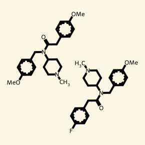 COc1ccc(CC(=O)N(Cc2ccc(OC)cc2)C2CCN(C)CC2)cc1.COc1ccc(CN(C(=O)Cc2ccc(F)cc2)C2CCN(C)CC2)cc1